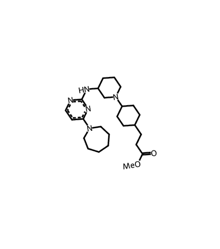 COC(=O)CCC1CCC(N2CCCC(Nc3nccc(N4CCCCCC4)n3)C2)CC1